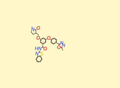 Cc1nnc(-c2ccc(Oc3cc(OCC4CCN(C)C4=O)cc(C(=O)Nc4nc5ccccc5s4)c3)cc2)o1